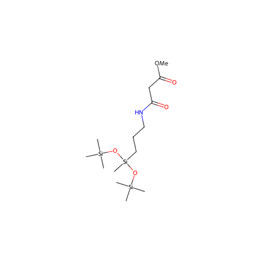 COC(=O)CC(=O)NCCC[Si](C)(O[Si](C)(C)C)O[Si](C)(C)C